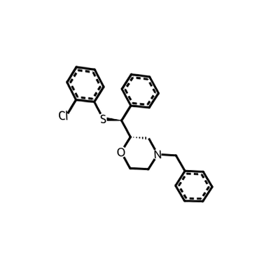 Clc1ccccc1S[C@@H](c1ccccc1)[C@@H]1CN(Cc2ccccc2)CCO1